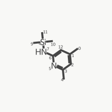 Cc1cc(C)nc(N[Si](C)(C)C)c1